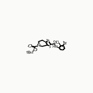 CC(C)(C)OC(=O)N1CCc2nc(C(=O)Nc3cccc(Br)c3Cl)sc2C1